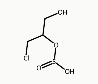 O=S(O)OC(CO)CCl